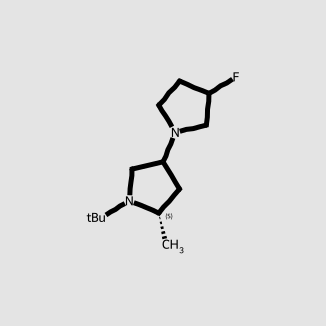 C[C@H]1CC(N2CCC(F)C2)CN1C(C)(C)C